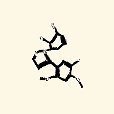 COc1cc(OC)c(-c2ccnn2-c2cccc(Cl)c2Cl)cc1I